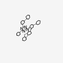 c1ccc(-c2cccc(-c3nc(-c4ccccc4)nc(-n4c5ccc(-c6ccccc6)cc5c5ccc6c(c54)Cc4ccccc4-6)n3)c2)cc1